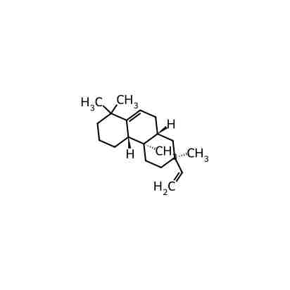 C=C[C@@]1(C)CC[C@]2(C)[C@H](CC=C3[C@H]2CCCC3(C)C)C1